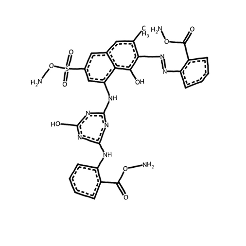 Cc1cc2cc(S(=O)(=O)ON)cc(Nc3nc(O)nc(Nc4ccccc4C(=O)ON)n3)c2c(O)c1N=Nc1ccccc1C(=O)ON